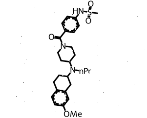 CCCN(C1CCN(C(=O)c2ccc(NS(C)(=O)=O)cc2)CC1)C1CCc2ccc(OC)cc2C1